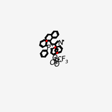 Cn1cc(C(c2cccc3ccccc23)[P+](c2ccccc2)(c2ccccc2)c2ccccc2)c2ccccc21.O=S(=O)([O-])C(F)(F)F